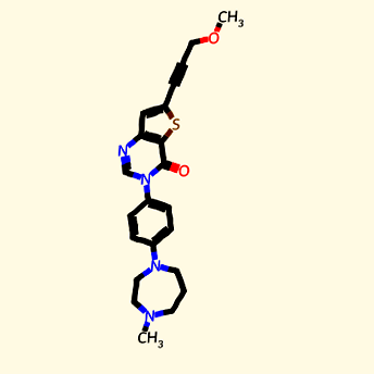 COCC#Cc1cc2ncn(-c3ccc(N4CCCN(C)CC4)cc3)c(=O)c2s1